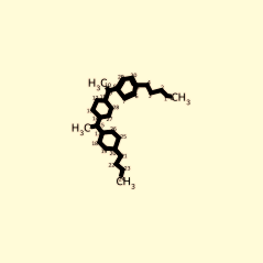 CCCCCc1ccc(C(C)C2CCC(C(C)C3CCC(CCCC)CC3)CC2)cc1